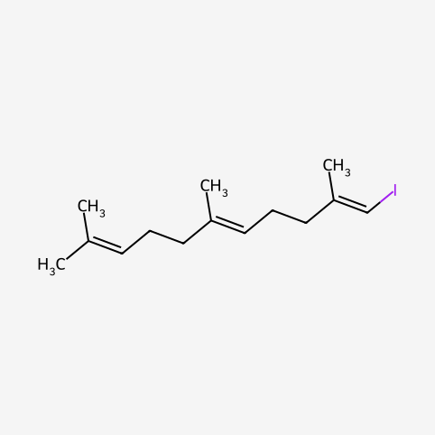 CC(C)=CCC/C(C)=C/CC/C(C)=C/I